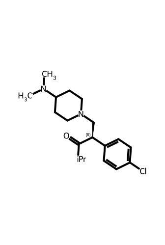 CC(C)C(=O)[C@@H](CN1CCC(N(C)C)CC1)c1ccc(Cl)cc1